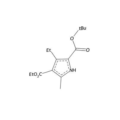 CCOC(=O)c1c(C)[nH]c(C(=O)OC(C)(C)C)c1CC